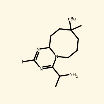 CCCCC1(C)CCCN2C(C(C)N)=NC(I)=NC2CC1